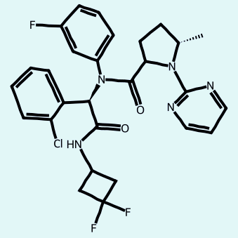 C[C@H]1CCC(C(=O)N(c2cccc(F)c2)[C@@H](C(=O)NC2CC(F)(F)C2)c2ccccc2Cl)N1c1ncccn1